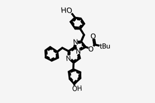 CC(C)(C)C(=O)Oc1c(Cc2ccc(O)cc2)nc2c(Cc3ccccc3)nc(-c3ccc(O)cc3)cn12